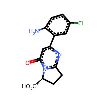 Nc1ccc(Cl)cc1-c1cc(=O)n2c(n1)CC[C@H]2C(=O)O